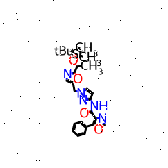 CC(O[Si](C)(C)C(C)(C)C)c1ncc(Cn2ccc(NC(=O)c3ncoc3-c3ccccc3)n2)o1